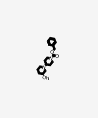 O=C(OCc1ccccc1)N1CCC(N2CCC[C@@H](O)C2)CC1